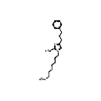 CCCCCCCCCCCCCCCCCn1cc(CCCc2ccccc2)nc1CCCC